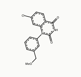 COCc1cccc(-n2c(=O)[nH]c(=O)c3ccc(Cl)cc32)c1